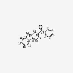 O=C(c1ccccc1)c1ccc2c(c1)Cc1ccccc1-2